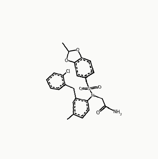 Cc1ccc(N(CC(N)=O)S(=O)(=O)c2ccc3c(c2)OC(C)O3)c(Cc2ccccc2Cl)c1